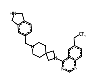 FC(F)(F)Cc1ccc2ncnc(N3CC4(CCN(Cc5ccc6c(c5)CNC6)CC4)C3)c2c1